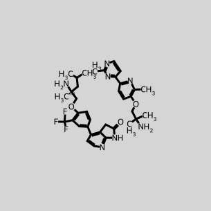 CC(C)C[C@](C)(N)COc1ccc(-c2ccnc3c2CC(=O)N3)cc1C(F)(F)F.Cc1nccc(-c2ccc(OCC(C)(C)N)c(C)n2)n1